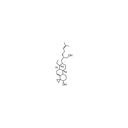 CC(C)=CCC[C@@H](CO)[C@H]1CC[C@H]2[C@@H]3CC=C4C5(CC5)[C@H](O)CC[C@]4(C)[C@H]3CC[C@]12C